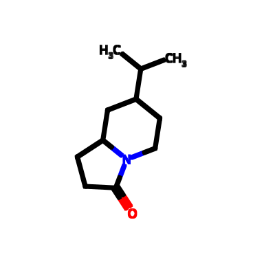 CC(C)C1CCN2C(=O)CCC2C1